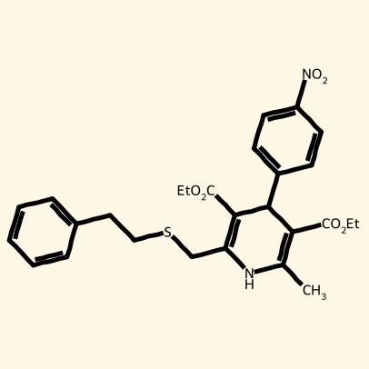 CCOC(=O)C1=C(C)NC(CSCCc2ccccc2)=C(C(=O)OCC)C1c1ccc([N+](=O)[O-])cc1